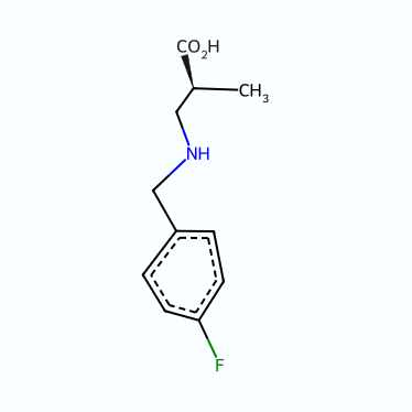 C[C@@H](CNCc1ccc(F)cc1)C(=O)O